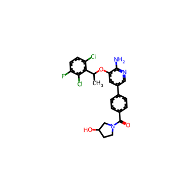 CC(Oc1cc(-c2ccc(C(=O)N3CCC(O)C3)cc2)cnc1N)c1c(Cl)ccc(F)c1Cl